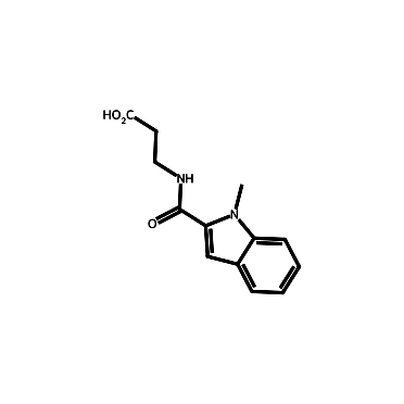 Cn1c(C(=O)NCCC(=O)O)cc2ccccc21